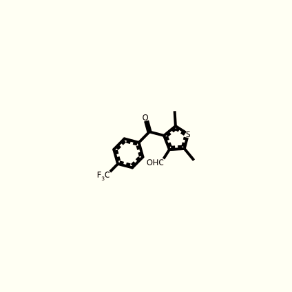 Cc1sc(C)c(C(=O)c2ccc(C(F)(F)F)cc2)c1C=O